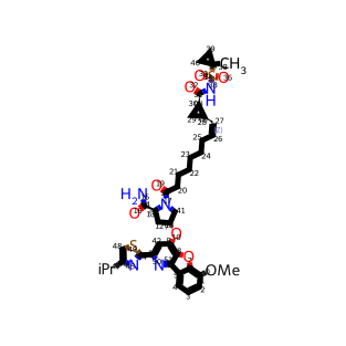 COc1cccc2c1oc1c(O[C@@H]3C[C@@H](C(N)=O)N(C(=O)CCCCCC/C=C\[C@@H]4C[C@@H]4C(=O)NS(=O)(=O)C4(C)CC4)C3)cc(-c3nc(C(C)C)cs3)nc12